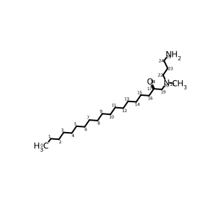 CCCCCCCCCCCCCCCCCC(=O)CN(C)CCCN